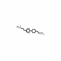 CCCCc1cnc(C2CCC(CCC)CC2)nc1